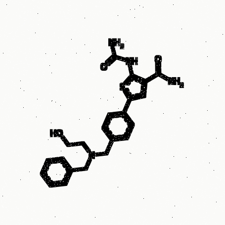 NC(=O)Nc1sc(-c2ccc(CN(CCO)Cc3ccccc3)cc2)cc1C(N)=O